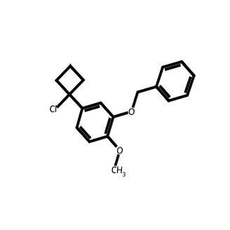 COc1ccc(C2(Cl)C[CH]C2)cc1OCc1ccccc1